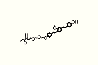 CCC(=O)NCCOCCOCCOc1ccc(/C=C/c2ccc(/C=C/c3ccc(O)cc3)cc2OC)cc1